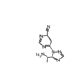 CC(N)c1ncnn1-c1cc(C#N)ncn1